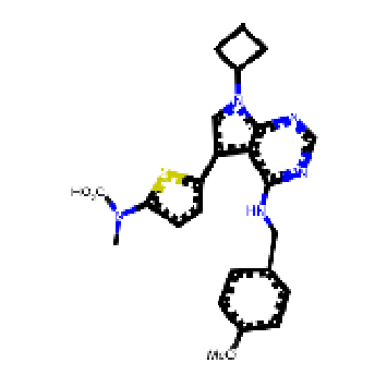 COc1ccc(CNc2ncnc3c2c(-c2ccc(N(C)C(=O)O)s2)cn3C2CCC2)cc1